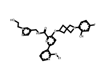 CCOc1ncccc1-c1ccc(OC2CC3(C2)CN(c2ccc(F)cc2C#N)C3)c(C(=O)NCc2cnn(CCO)c2)n1